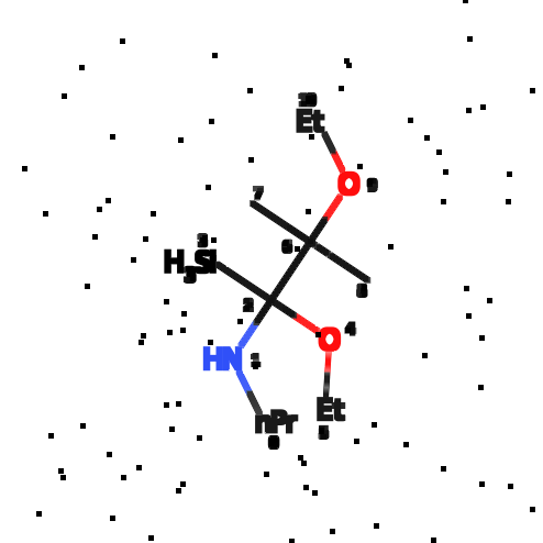 CCCNC([SiH3])(OCC)C(C)(C)OCC